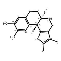 Cc1sc2c(c1C)CN[C@@H]1CCc3cc(O)c(O)cc3[C@@H]21